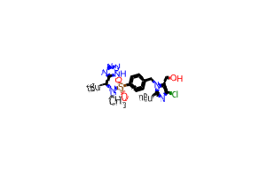 CCCCc1nc(Cl)c(CO)n1Cc1ccc(S(=O)(=O)N(C)C(c2nnn[nH]2)C(C)(C)C)cc1